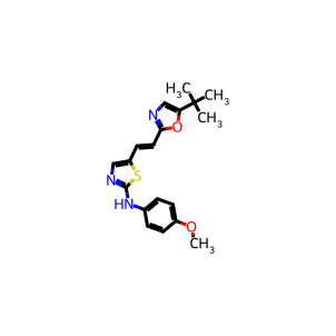 COc1ccc(Nc2ncc(C=Cc3ncc(C(C)(C)C)o3)s2)cc1